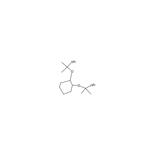 CCCC(C)(C)OC1CCCCC1OC(C)(C)CCC